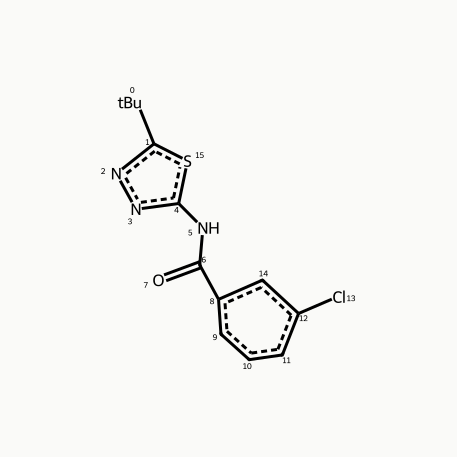 CC(C)(C)c1nnc(NC(=O)c2cccc(Cl)c2)s1